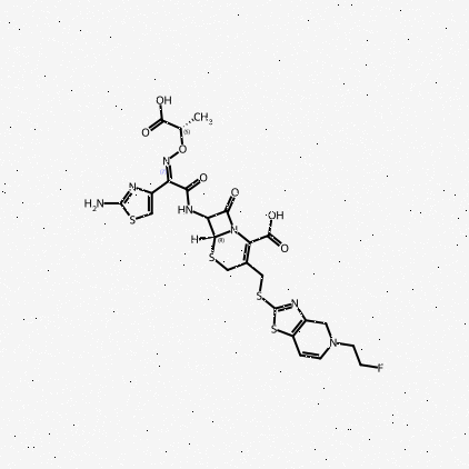 C[C@H](O/N=C(\C(=O)NC1C(=O)N2C(C(=O)O)=C(CSc3nc4c(s3)C=CN(CCF)C4)CS[C@H]12)c1csc(N)n1)C(=O)O